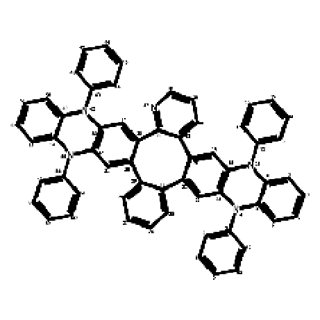 c1ccc(-n2c3ccccc3n(-c3ccccc3)c3cc4c(cc32)c2ccccc2c2cc3c(cc2c2ncccc42)n(-c2ccccc2)c2ccccc2n3-c2ccccc2)cc1